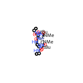 CN[C@@H](C)C(=O)NC(C(=O)N1Cc2cc(NCC(=O)N[C@H]3C[C@@H](C(=O)N[C@@H]4CCCc5ccccc54)N(C(=O)[C@@H](NC(=O)[C@H](C)NC)C(C)(C)C)C3)ccc2C[C@H]1C(=O)N[C@@H]1CCCc2ccccc21)C(C)(C)C